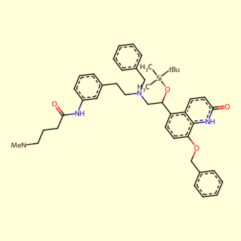 CNCCCC(=O)Nc1cccc(CCN(Cc2ccccc2)CC(O[Si](C)(C)C(C)(C)C)c2ccc(OCc3ccccc3)c3[nH]c(=O)ccc23)c1